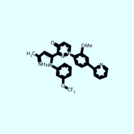 COc1cc(-c2ccccn2)ccc1-n1ccc(=O)c(/C(=C/C(C)=N)Nc2cccc(OC(F)(F)F)c2)n1